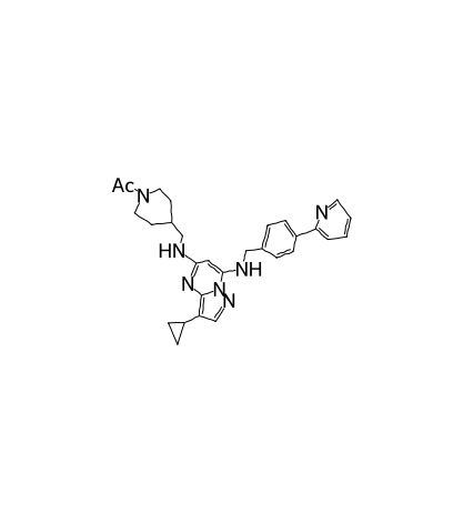 CC(=O)N1CCC(CNc2cc(NCc3ccc(-c4ccccn4)cc3)n3ncc(C4CC4)c3n2)CC1